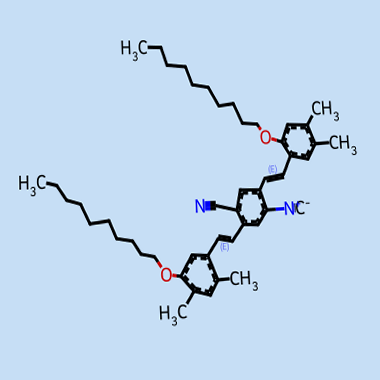 [C-]#[N+]c1cc(/C=C/c2cc(OCCCCCCCCCC)c(C)cc2C)c(C#N)cc1/C=C/c1cc(C)c(C)cc1OCCCCCCCCCC